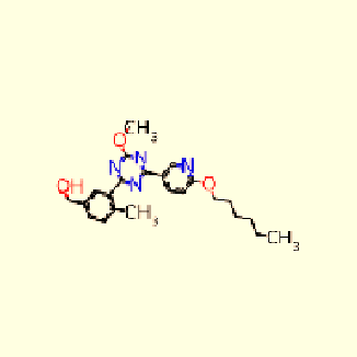 CCCCCCOc1ccc(-c2nc(OC)nc(-c3cc(CO)ccc3C)n2)cn1